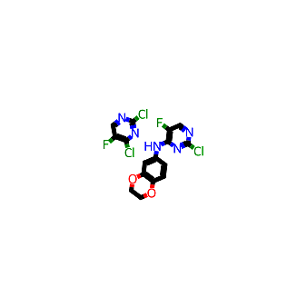 Fc1cnc(Cl)nc1Cl.Fc1cnc(Cl)nc1Nc1ccc2c(c1)OCCO2